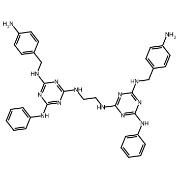 Nc1ccc(CNc2nc(NCCNc3nc(NCc4ccc(N)cc4)nc(Nc4ccccc4)n3)nc(Nc3ccccc3)n2)cc1